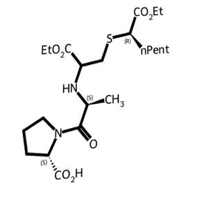 CCCCC[C@@H](SCC(N[C@@H](C)C(=O)N1CCC[C@H]1C(=O)O)C(=O)OCC)C(=O)OCC